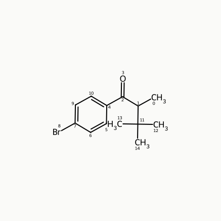 CC(C(=O)c1ccc(Br)cc1)C(C)(C)C